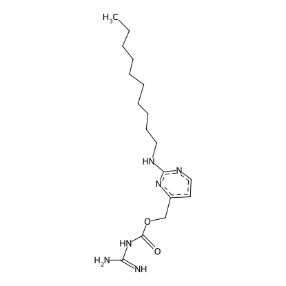 CCCCCCCCCCNc1nccc(COC(=O)NC(=N)N)n1